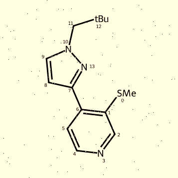 CSc1cnccc1-c1ccn(CC(C)(C)C)n1